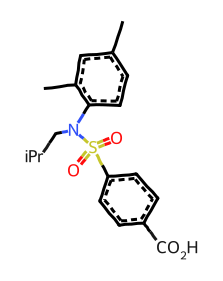 Cc1ccc(N(CC(C)C)S(=O)(=O)c2ccc(C(=O)O)cc2)c(C)c1